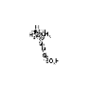 CC(C(C)(C)NCl)S(=O)(=O)CCOCCOCCOCCS(=O)(=O)O